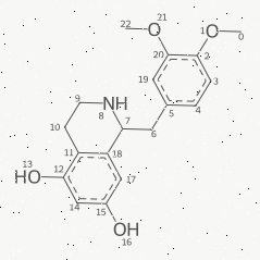 COc1ccc(CC2NCCc3c(O)cc(O)cc32)cc1OC